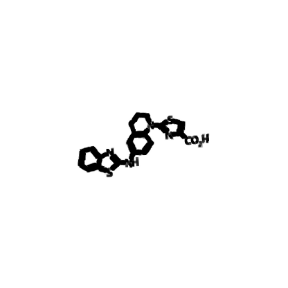 O=C(O)c1csc(N2CCCc3cc(Nc4nc5ccccc5s4)ccc32)n1